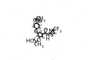 CC(CO)Oc1cc(Oc2ccc(S(C)(=O)=O)cc2)cc(C(=O)Nc2nc(C(F)(F)F)cs2)c1